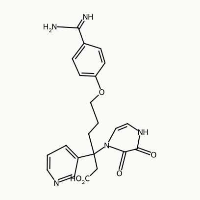 N=C(N)c1ccc(OCCCC(CC(=O)O)(c2cccnc2)n2cc[nH]c(=O)c2=O)cc1